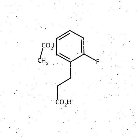 CC(=O)O.O=C(O)CCc1ccccc1F